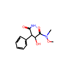 CON(C)C(=O)C(O)C(C(N)=O)c1ccccc1